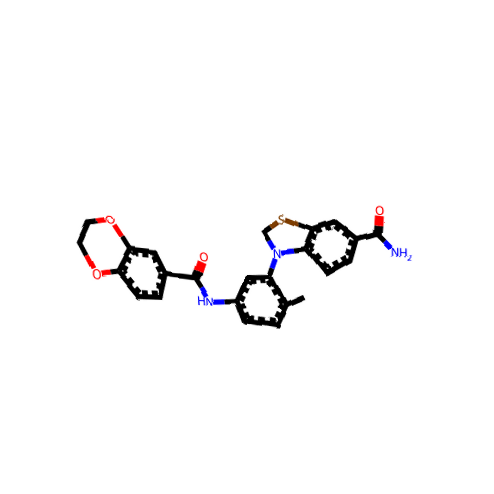 Cc1ccc(NC(=O)c2ccc3c(c2)OCCO3)cc1N1CSc2cc(C(N)=O)ccc21